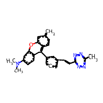 C=c1ccc2c(c1)Oc1cc(N(C)C)ccc1C=2c1cccc(/C=C/c2nnc(C)nn2)c1